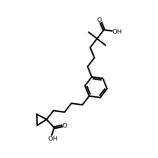 CC(C)(CCCc1cccc(CCCCC2(C(=O)O)CC2)c1)C(=O)O